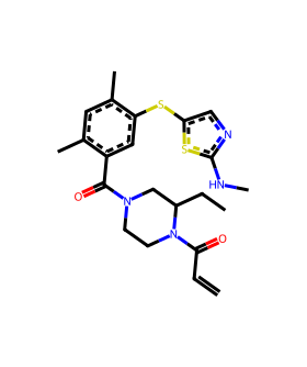 C=CC(=O)N1CCN(C(=O)c2cc(Sc3cnc(NC)s3)c(C)cc2C)CC1CC